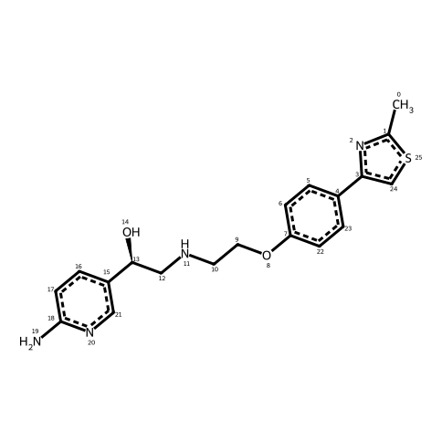 Cc1nc(-c2ccc(OCCNC[C@H](O)c3ccc(N)nc3)cc2)cs1